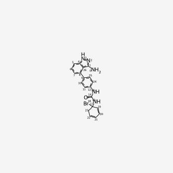 Nc1n[nH]c2cccc(-c3ccc(NC(=O)NC4(Br)C=CC=CC4)cc3)c12